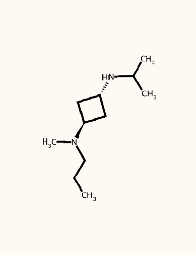 CCCN(C)[C@H]1C[C@H](NC(C)C)C1